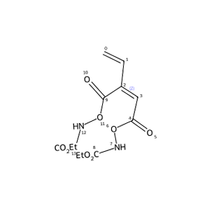 C=C/C(=C/C(=O)ONC(=O)OCC)C(=O)ONC(=O)OCC